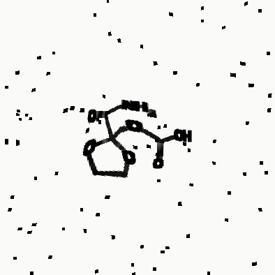 NC(=O)C1(OC(=O)O)OCCO1